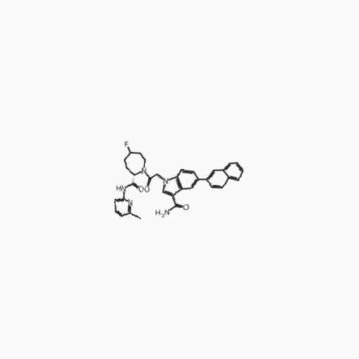 Cc1cccc(NC(=O)[C@@H]2CCC(F)CCN2C(=O)Cn2cc(C(N)=O)c3cc(-c4ccc5ccccc5c4)ccc32)n1